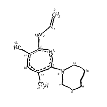 C=NNc1nc(N2CCCCC2)c(C(=O)O)cc1C#N